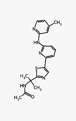 CC(=O)NC(C)(C)c1ncc(-c2cccc(Nc3cc(C)ccn3)n2)s1